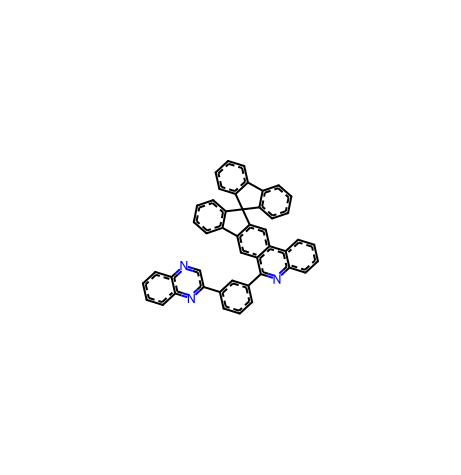 c1cc(-c2cnc3ccccc3n2)cc(-c2nc3ccccc3c3cc4c(cc23)-c2ccccc2C42c3ccccc3-c3ccccc32)c1